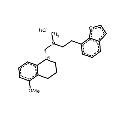 COc1cccc2c1CCC[C@H]2CN(C)CCc1cccc2ccoc12.Cl